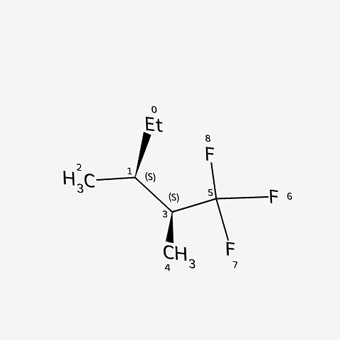 CC[C@H](C)[C@H](C)C(F)(F)F